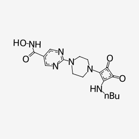 CCCCNc1c(N2CCN(c3ncc(C(=O)NO)cn3)CC2)c(=O)c1=O